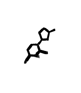 C[C@@H]1CC[C@H](n2ccc(=O)[nH]c2=O)O1